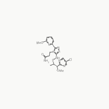 COc1cccc(-c2nnc(NSC(C)C(OC)c3ncc(Cl)cn3)n2CCC(N)=O)n1